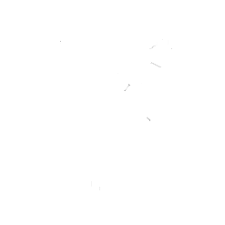 C=CC(=O)OC1(C(=O)OCCCCCC)CCCC(C(=O)OCCCCCCC)C1